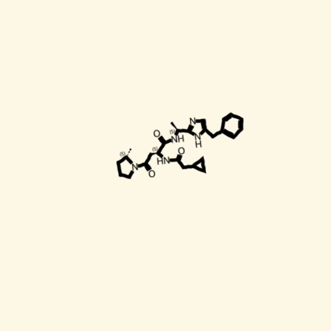 C[C@H](NC(=O)[C@H](CC(=O)N1CCC[C@@H]1C)NC(=O)CC1CC1)c1ncc(Cc2ccccc2)[nH]1